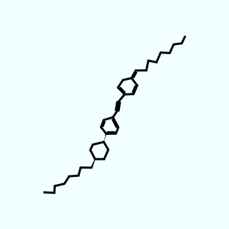 CCCCCCCCC=C1C=CC(C#Cc2ccc([C@H]3CC[C@H](CCCCCCCC)CC3)cc2)=CC1